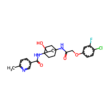 Cc1ccc(C(=O)NC23CCC(NC(=O)COc4ccc(Cl)c(F)c4)(CC2)CC3O)cn1